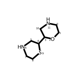 C1COC(C2CNCCS2)CN1